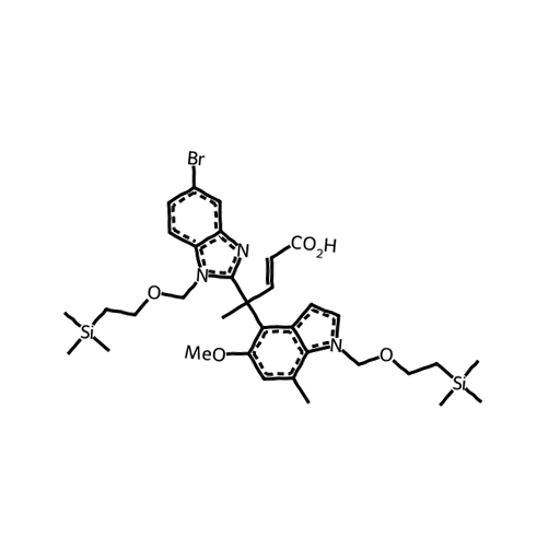 COc1cc(C)c2c(ccn2COCC[Si](C)(C)C)c1C(C)(/C=C/C(=O)O)c1nc2cc(Br)ccc2n1COCC[Si](C)(C)C